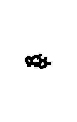 Cc1ccc2c(c1C)N(C)Cc1cccnc1N2